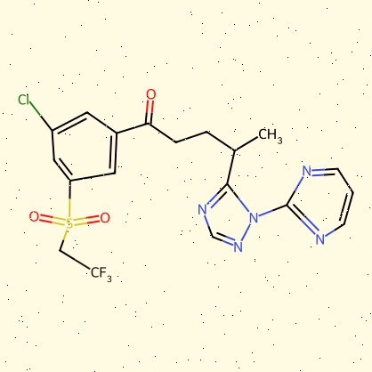 CC(CCC(=O)c1cc(Cl)cc(S(=O)(=O)CC(F)(F)F)c1)c1ncnn1-c1ncccn1